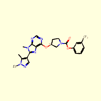 CCn1ncc(-c2nc3c(O[C@H]4CCN(C(=O)Oc5cccc(C(F)(F)F)c5)C4)ncnc3n2C)c1C